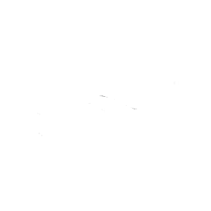 O=C(c1ccc2[nH]cnc2c1)N1CCC[C@H]2c3cc(O)ccc3C[C@H]21